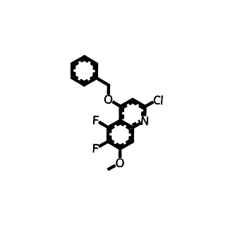 COc1cc2nc(Cl)cc(OCc3ccccc3)c2c(F)c1F